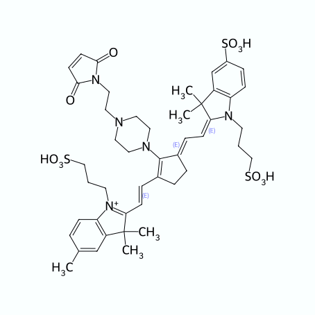 Cc1ccc2c(c1)C(C)(C)C(/C=C/C1=C(N3CCN(CCN4C(=O)C=CC4=O)CC3)C(=C/C=C3/N(CCCS(=O)(=O)O)c4ccc(S(=O)(=O)O)cc4C3(C)C)/CC1)=[N+]2CCCS(=O)(=O)O